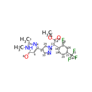 CN/C(C)=N\C(=C/C=O)c1cnn(C(C(=O)OC)c2ccc(C(F)(F)F)cc2F)c1